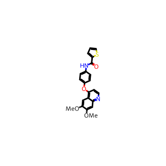 COc1cc2nccc(Oc3ccc(NC(=O)c4cccs4)cc3)c2cc1OC